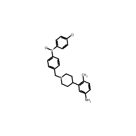 Cc1ccc(N)cc1C1CCN(Cc2ccc([S+]([O-])c3ccc(Cl)cc3)cc2)CC1